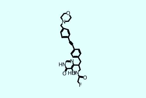 O=C(CF)NCC(Cc1ccc(C#Cc2ccc(CN3CCOCC3)cc2)cc1)c1nc[nH]c(=O)c1O